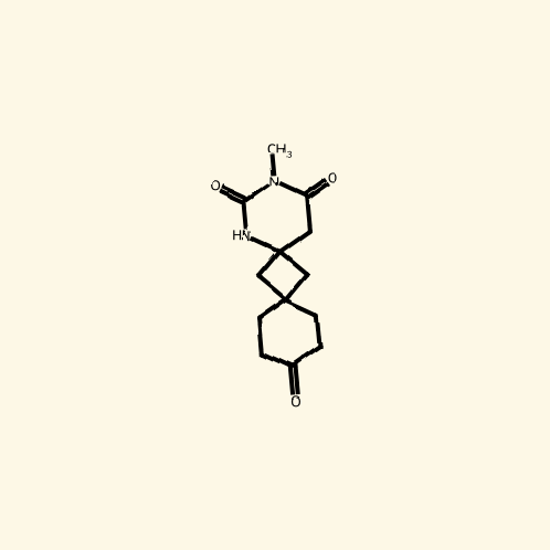 CN1C(=O)CC2(CC3(CCC(=O)CC3)C2)NC1=O